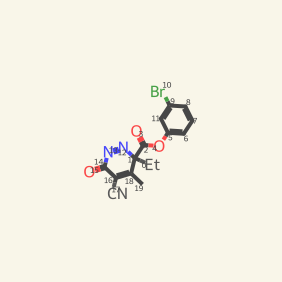 CCC1(C(=O)Oc2cccc(Br)c2)N=NC(=O)C(C#N)=C1C